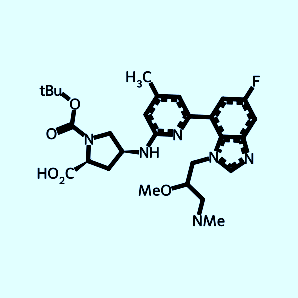 CNCC(Cn1cnc2cc(F)cc(-c3cc(C)cc(N[C@H]4C[C@@H](C(=O)O)N(C(=O)OC(C)(C)C)C4)n3)c21)OC